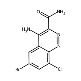 NC(=O)c1nnc2c(Cl)cc(Br)cc2c1N